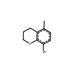 Cc1ccc(C(C)C)c2c1CCCO2